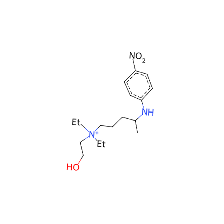 CC[N+](CC)(CCO)CCCC(C)Nc1ccc([N+](=O)[O-])cc1